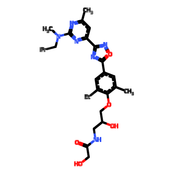 CCc1cc(-c2nc(-c3cc(C)nc(N(C)CC(C)C)n3)no2)cc(C)c1OCC(O)CNC(=O)CO